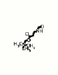 C[Si](C)(C)COC(=O)CCNC=O